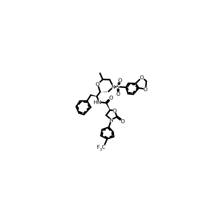 CC1CN(S(=O)(=O)c2ccc3c(c2)OCO3)C[C@H]([C@H](Cc2ccccc2)NC(=O)[C@@H]2CN(c3ccc(C(F)(F)F)cc3)C(=O)O2)O1